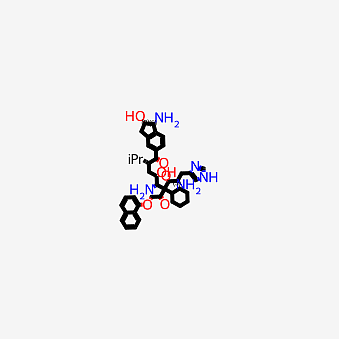 CC(C)C(CC(O)C(N)C(C(=O)COc1cccc2ccccc12)(C(=O)[C@@H](N)Cc1c[nH]cn1)C1CCCCC1)C(=O)c1ccc2c(c1)C[C@@H](O)[C@H]2N